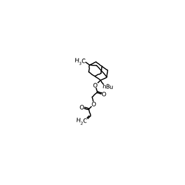 C=CC(=O)OCC(=O)OC1(CCCC)C2CC3CC1CC(C)(C3)C2